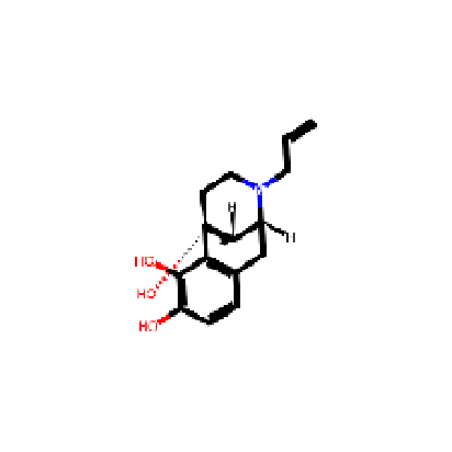 C=CCN1CC[C@]23C[C@@H](O)C=C[C@H]2[C@H]1Cc1ccc(O)c(O)c13